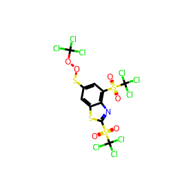 O=S(=O)(c1nc2c(S(=O)(=O)C(Cl)(Cl)Cl)cc(SOOC(Cl)(Cl)Cl)cc2s1)C(Cl)(Cl)Cl